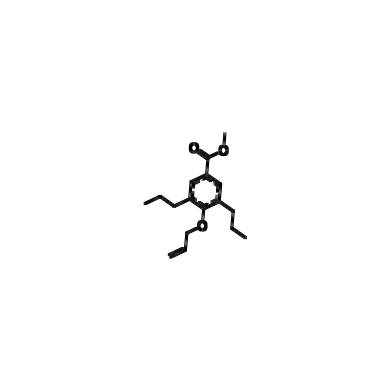 C=CCOc1c(CCC)cc(C(=O)OC)cc1CCC